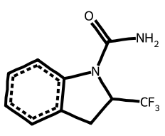 NC(=O)N1c2ccccc2CC1C(F)(F)F